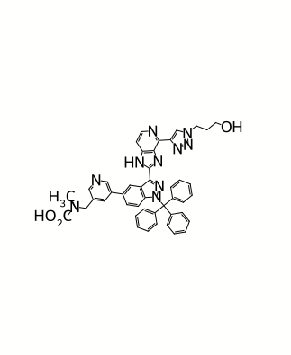 CN(Cc1cncc(-c2ccc3c(c2)c(-c2nc4c(-c5cn(CCCO)nn5)nccc4[nH]2)nn3C(c2ccccc2)(c2ccccc2)c2ccccc2)c1)C(=O)O